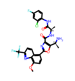 COc1ccc(-c2nc(C(=O)N[C@H](C)C(=O)Nc3ccc(F)cc3Cl)c([C@H](C)N)o2)c2ccc(C(F)(F)F)nc12